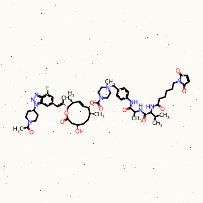 CC(=O)N1CCC(n2nnc3c(F)cc(/C=C(\C)[C@H]4OC(=O)C[C@H](O)CC[C@H](C)[C@@H](OC(=O)N5CC[N+](C)(Cc6ccc(NC(=O)C(C)NC(=O)C(NC(=O)CCCCCN7C(=O)C=CC7=O)C(C)C)cc6)CC5)/C=C/[C@@H]4C)cc32)CC1